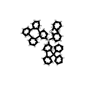 c1ccc(C2(c3ccccc3)c3ccccc3-c3ccc(N(c4ccc5c(c4)-c4ccccc4-c4ccccc4-c4ccccc4-5)c4cccc5c4oc4ccccc45)cc32)cc1